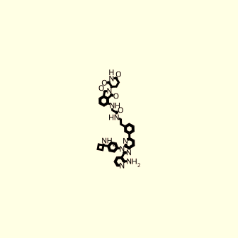 Nc1ncccc1-c1nc2ccc(-c3cccc(CCNC(=O)CNc4cccc5c4C(=O)N(C4CCC(=O)NC4=O)C5=O)c3)nc2n1-c1ccc(C2(N)CCC2)cc1